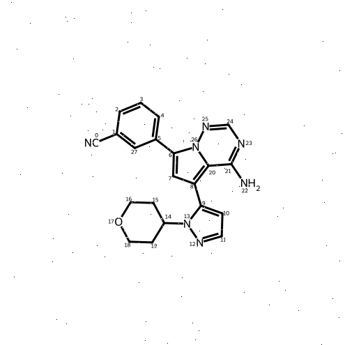 N#Cc1cccc(-c2cc(-c3ccnn3C3CCOCC3)c3c(N)ncnn23)c1